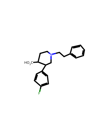 O=C(O)C1CCN(CCc2ccccc2)CC1c1ccc(F)cc1